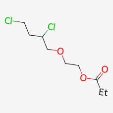 CCC(=O)OCCOCC(Cl)CCCl